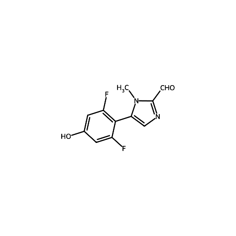 Cn1c(-c2c(F)cc(O)cc2F)cnc1C=O